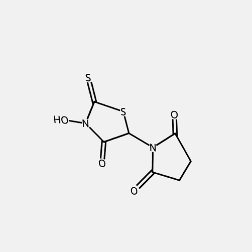 O=C1C(N2C(=O)CCC2=O)SC(=S)N1O